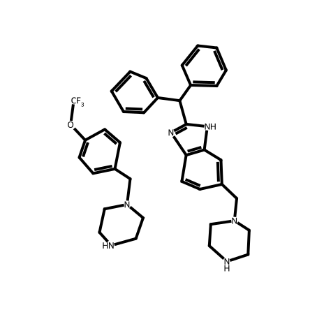 FC(F)(F)Oc1ccc(CN2CCNCC2)cc1.c1ccc(C(c2ccccc2)c2nc3ccc(CN4CCNCC4)cc3[nH]2)cc1